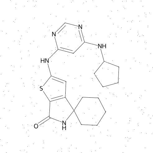 O=C1NC2(CCCCC2)c2cc(Nc3cc(NC4CCCC4)ncn3)sc21